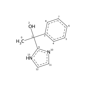 CC(O)(c1ccccc1)c1ncc[nH]1